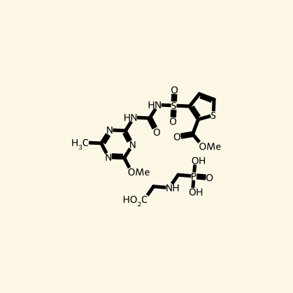 COC(=O)c1sccc1S(=O)(=O)NC(=O)Nc1nc(C)nc(OC)n1.O=C(O)CNCP(=O)(O)O